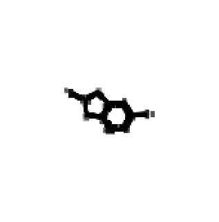 Ic1cnc2c(c1)CN(I)C2